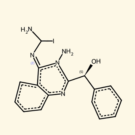 NC(I)/N=c1/c2ccccc2nc([C@@H](O)c2ccccc2)n1N